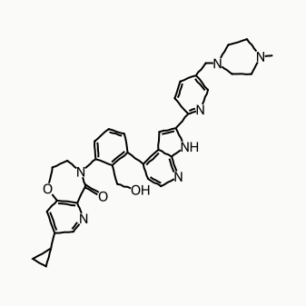 CN1CCN(Cc2ccc(-c3cc4c(-c5cccc(N6CCOc7cc(C8CC8)cnc7C6=O)c5CO)ccnc4[nH]3)nc2)CC1